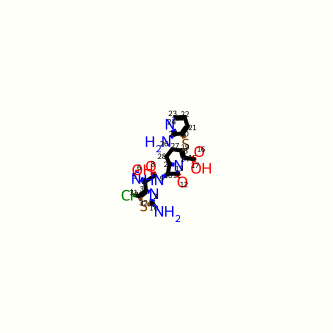 Nc1nc(/C(=N/O)C(=O)NC2C(=O)N3C(C(=O)O)=C(Sc4cccnc4N)CCC23)c(Cl)s1